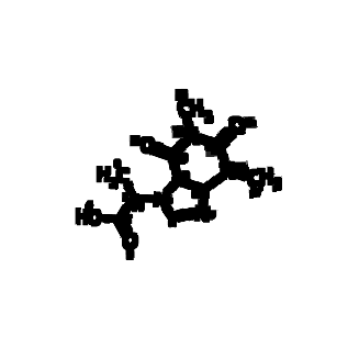 C[C@H](C(=O)O)N1C=NC2C1C(=O)N(C)C(=O)N2C